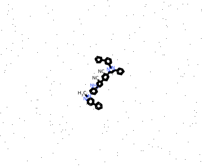 Cc1nc2ccc(-c3ccccc3)cc2n1-c1ccc(-c2ccc(-c3ccc(-c4cc(-c5ccccc5)nc(-c5cccc(-c6ccccc6)c5)n4)c(C#N)c3)c(C#N)c2)c(N)c1